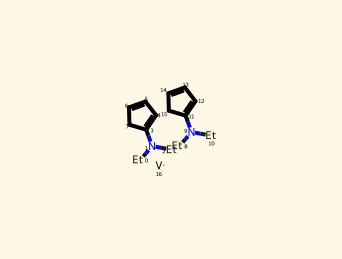 CCN(CC)C1=CC=CC1.CCN(CC)C1=CC=CC1.[V]